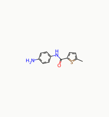 Cc1ccc(C(=O)Nc2ccc(N)cc2)s1